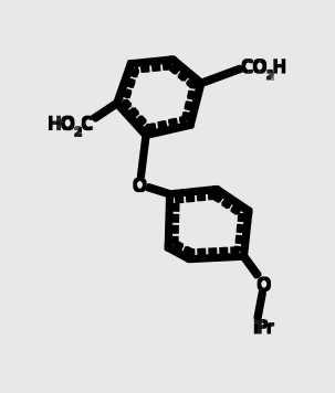 CC(C)Oc1ccc(Oc2cc(C(=O)O)ccc2C(=O)O)cc1